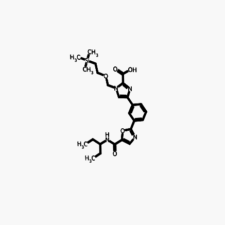 CCC(CC)NC(=O)c1cnc(-c2cccc(-c3cn(COCC[Si](C)(C)C)c(C(=O)O)n3)c2)o1